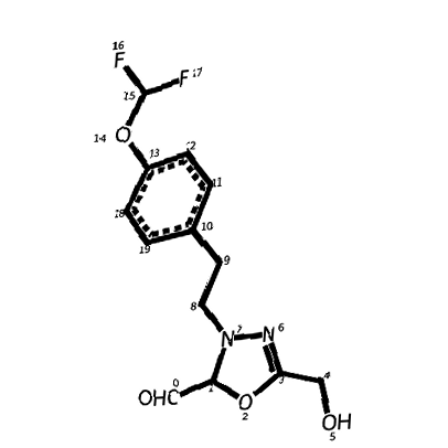 O=CC1OC(CO)=NN1CCc1ccc(OC(F)F)cc1